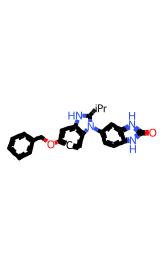 CC(C)C1Nc2cc(OCc3ccccc3)ccc2N1c1ccc2[nH]c(=O)[nH]c2c1